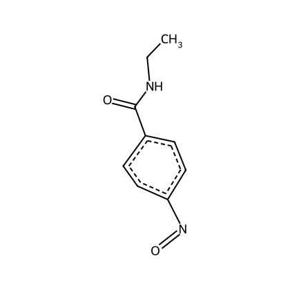 CCNC(=O)c1ccc(N=O)cc1